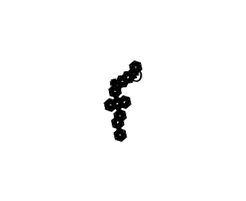 CC1(C)c2ccc(-c3c4ccccc4c(-c4ccc5cc(-c6ccccc6)ccc5c4)c4ccccc34)cc2-c2cc3cc4oc5ccccc5c4cc3cc21